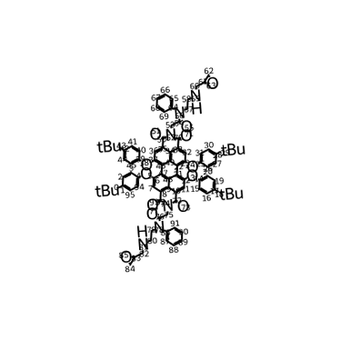 CC(C)(C)c1ccc(Oc2cc3c4c(cc(Oc5ccc(C(C)(C)C)cc5)c5c6c(Oc7ccc(C(C)(C)C)cc7)cc7c8c(cc(Oc9ccc(C(C)(C)C)cc9)c(c2c45)c86)C(=O)N(CC(=O)N(CCNCC2CO2)c2ccccc2)C7=O)C(=O)N(CC(=O)N(CCNCC2CO2)c2ccccc2)C3=O)cc1